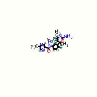 CC1(C)N=C(N)O[C@](C)(c2cc(NC(=O)c3cnc(C(F)(F)F)cn3)ccc2F)C1(F)F